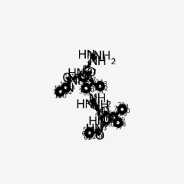 N=C(N)NCCC[C@@H]1N[C@H](CNC(=O)c2cc3ccccc3cn2)CCN(CC(c2ccccc2)c2ccccc2)C1=O.N=C(N)NCCC[C@@H]1N[C@H](CNC(=O)c2ccccc2)CCN(CC(c2ccccc2)c2ccccc2)C1=O